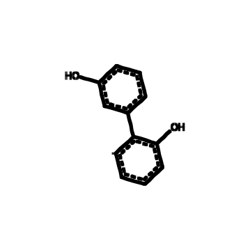 Oc1cccc(-c2[c]cccc2O)c1